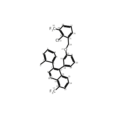 Cc1ccccc1-c1cnc2c(C(F)(F)F)cccc2c1-c1cccc(OCc2cccc(C(F)(F)F)c2Cl)c1